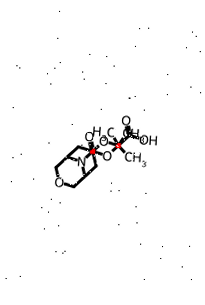 CC(C)(C)OC(=O)N1C2COCC1CC(OCC(=O)O)C2